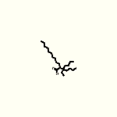 CCCCCCCCCCC(C([O])=O)C(CC)(CCCC)CCCC